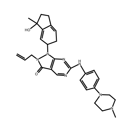 C=CCn1c(=O)c2cnc(Nc3ccc(N4CCN(C)CC4)cc3)nc2n1C1C=C2C(=CC1)CCC2(C)O